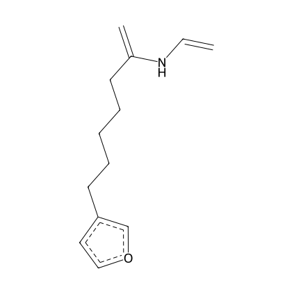 C=CNC(=C)CCCCCc1ccoc1